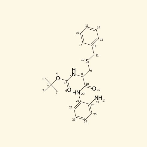 CC(C)(C)OC(=O)NC(CSCc1ccccc1)C(=O)Nc1ccccc1N